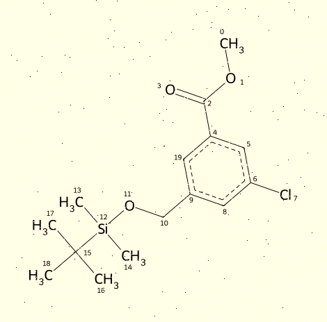 COC(=O)c1cc(Cl)cc(CO[Si](C)(C)C(C)(C)C)c1